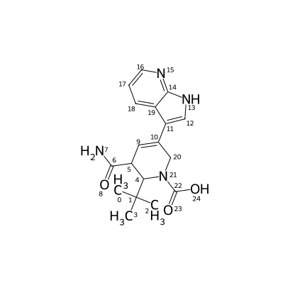 CC(C)(C)C1C(C(N)=O)C=C(c2c[nH]c3ncccc23)CN1C(=O)O